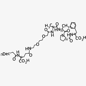 CCCCCCCCCCCC(=O)N[C@@H](CCC(=O)NCCOCCOCC(=O)N[C@@H](C)C(=O)N[C@@H](C)C(=O)N1CCC[C@H]1C(=O)N[C@@H](Cc1ccccc1)C(=O)O)C(=O)O